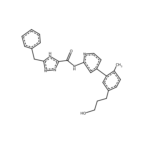 Cc1ccc(CCCO)cc1-c1ccnc(NC(=O)c2nnc(Cc3ccccc3)[nH]2)c1